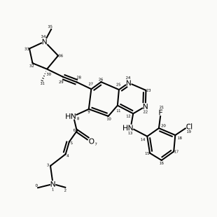 CN(C)CC=CC(=O)Nc1cc2c(Nc3cccc(Cl)c3F)ncnc2cc1C#C[C@@]1(C)CCN(C)C1